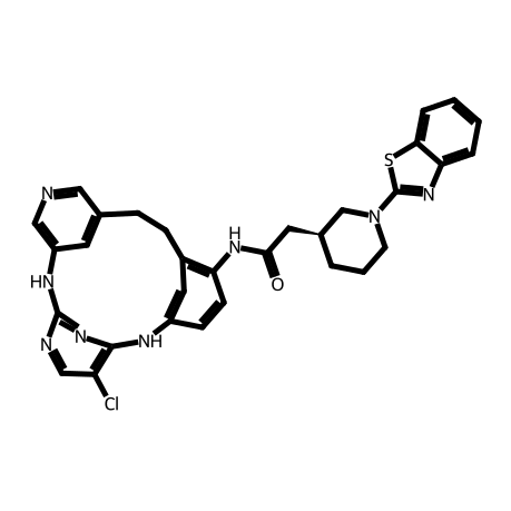 O=C(C[C@@H]1CCCN(c2nc3ccccc3s2)C1)Nc1ccc2cc1CCc1cncc(c1)Nc1ncc(Cl)c(n1)N2